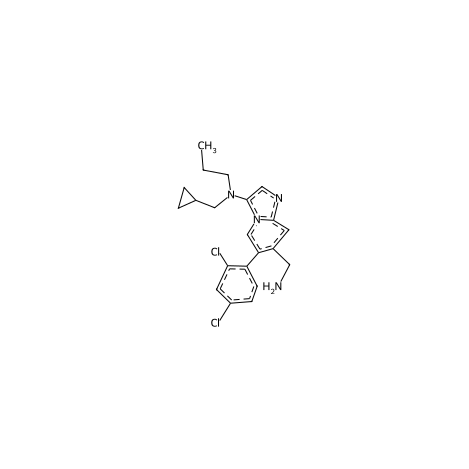 CCCN(CC1CC1)c1cnc2cc(CN)c(-c3ccc(Cl)cc3Cl)cn12